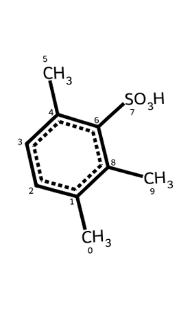 Cc1ccc(C)c(S(=O)(=O)O)c1C